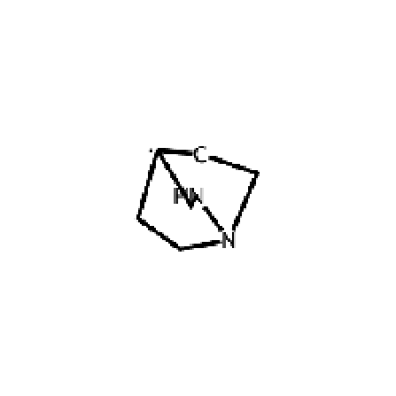 C1CN2CC[C]1CN2